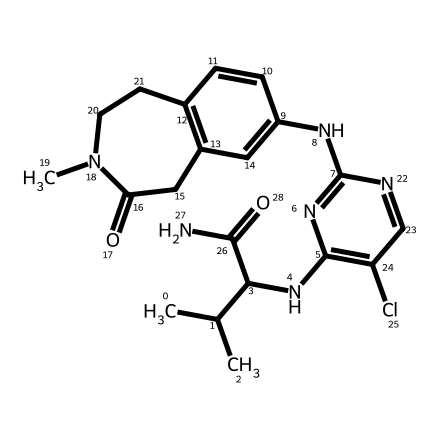 CC(C)C(Nc1nc(Nc2ccc3c(c2)CC(=O)N(C)CC3)ncc1Cl)C(N)=O